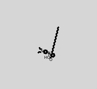 CCCCCCCCCCCCCCCCCCc1cccc(C(=O)O)c1N=Nc1ccc(N(CCC)CCC)cc1